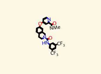 CNC(=O)c1cc(Oc2ccc3c(c2)CN(C(=O)Nc2cc(C(F)(F)F)cc(C(F)(F)F)c2)CC3)ccn1